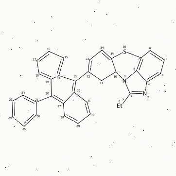 CCc1nc2cccc3c2n1C1CC(c2c4ccccc4c(-c4ccccc4)c4ccccc24)=CC=C1S3